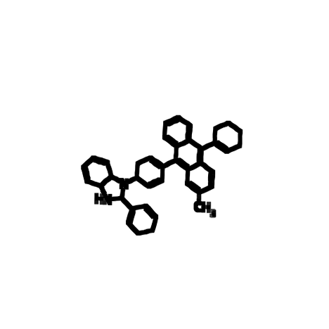 Cc1ccc2c(C3=CCCCC3)c3ccccc3c(C3=CCC(N4C(C5=CCCC=C5)NC5C=CC=CC54)C=C3)c2c1